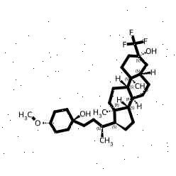 CO[C@H]1CC[C@@](O)(CC[C@H](C)[C@@H]2CC[C@H]3[C@@H]4CC[C@H]5C[C@](O)(C(F)(F)F)CC[C@]5(C)[C@H]4CC[C@@]32C)CC1